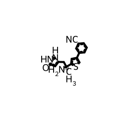 C[C@](N)(Cc1cc(=O)[nH][nH]1)c1cc(-c2cccc(C#N)c2)cs1